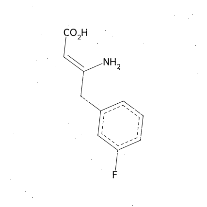 NC(=CC(=O)O)Cc1cccc(F)c1